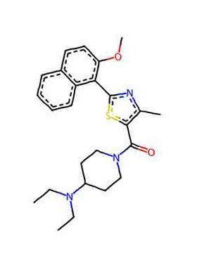 CCN(CC)C1CCN(C(=O)c2sc(-c3c(OC)ccc4ccccc34)nc2C)CC1